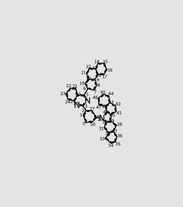 c1cc(-c2nc(-c3ccc4c(ccc5ccccc54)c3)c3ccccc3n2)cc(-n2c3cc4ccccc4cc3c3ccc4ccccc4c32)c1